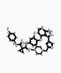 CN1CCN(Cc2cc(-c3n[nH]c4nccc(Oc5ccc(NC(=O)C6(C(=O)Nc7ccc(F)cc7)CC6)cc5F)c34)co2)CC1